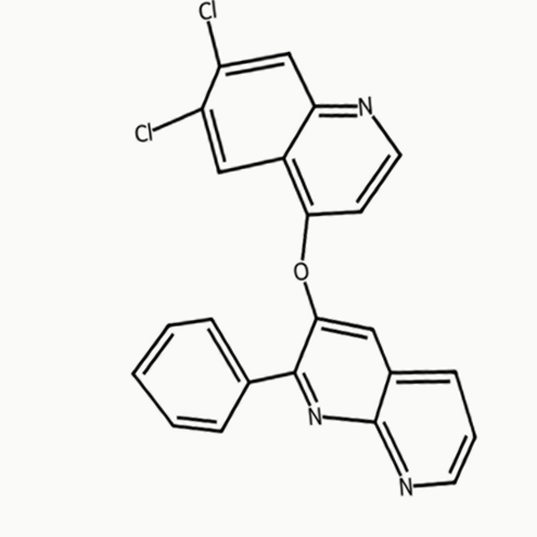 Clc1cc2nccc(Oc3cc4cccnc4nc3-c3ccccc3)c2cc1Cl